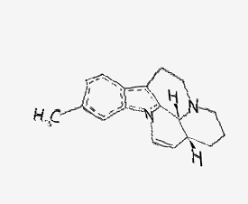 Cc1ccc2c3c4n(c2c1)C=C[C@H]1CCCN(CC3)[C@@H]41